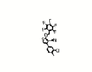 Cc1ccc(-c2csc(OCc3c(F)c(F)c(F)c(F)c3F)c2C#N)cc1Cl